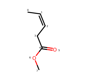 C/C=C\CC(=O)OC